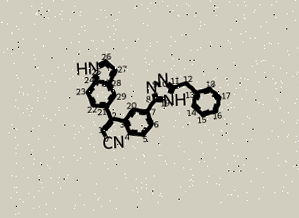 N#CC=C(c1cccc(-c2nnc(Cc3ccccc3)[nH]2)c1)c1ccc2[nH]ccc2c1